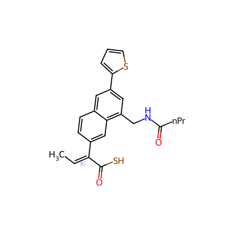 C/C=C(/C(=O)S)c1ccc2cc(-c3cccs3)cc(CNC(=O)CCC)c2c1